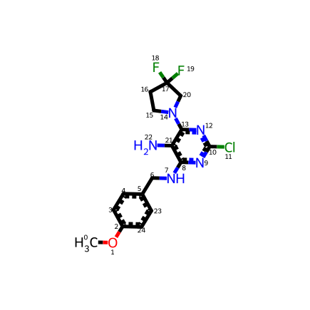 COc1ccc(CNc2nc(Cl)nc(N3CCC(F)(F)C3)c2N)cc1